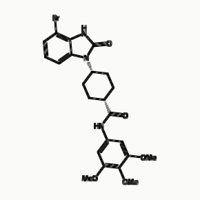 COc1cc(NC(=O)[C@H]2CC[C@@H](n3c(=O)[nH]c4c(Br)cccc43)CC2)cc(OC)c1OC